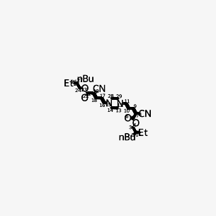 CCCCC(CC)COC(=O)/C(C#N)=C\C=C\N1CCN(/C=C/C=C(\C#N)C(=O)OCC(CC)CCCC)CC1